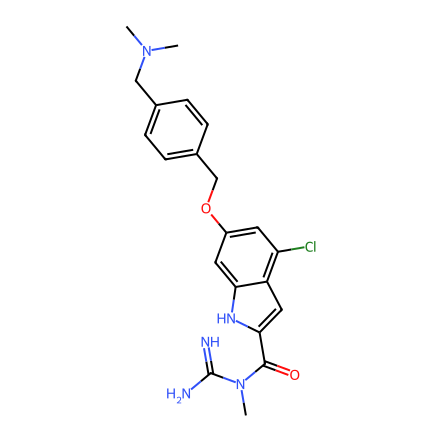 CN(C)Cc1ccc(COc2cc(Cl)c3cc(C(=O)N(C)C(=N)N)[nH]c3c2)cc1